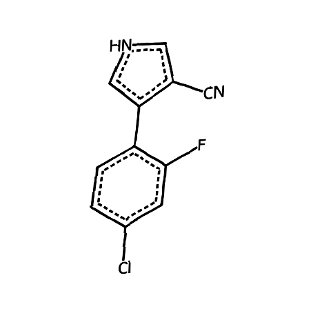 N#Cc1c[nH]cc1-c1ccc(Cl)cc1F